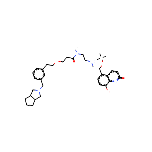 CC(C)N(CCNC[C@H](O[Si](C)(C)C(C)(C)C)c1ccc(O)c2[nH]c(=O)ccc12)C(=O)CCOCCc1cccc(CN2CC3CCC[C@H]3C2)c1